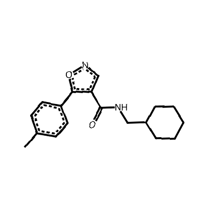 Cc1ccc(-c2oncc2C(=O)NCC2CCCCC2)cc1